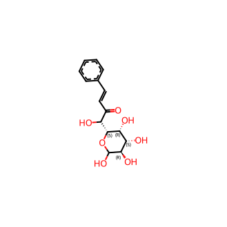 O=C(C=Cc1ccccc1)C(O)[C@H]1OC(O)[C@H](O)[C@@H](O)[C@H]1O